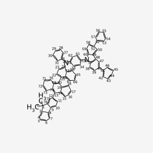 CC1(C)c2ccccc2-c2ccc(-c3c4ccccc4c(-c4ccc(N(c5ccccc5)c5ccc(-n6c7ccc(-c8ccccc8)cc7c7cc(-c8ccccc8)ccc76)cc5)c5ccccc45)c4ccccc34)cc21